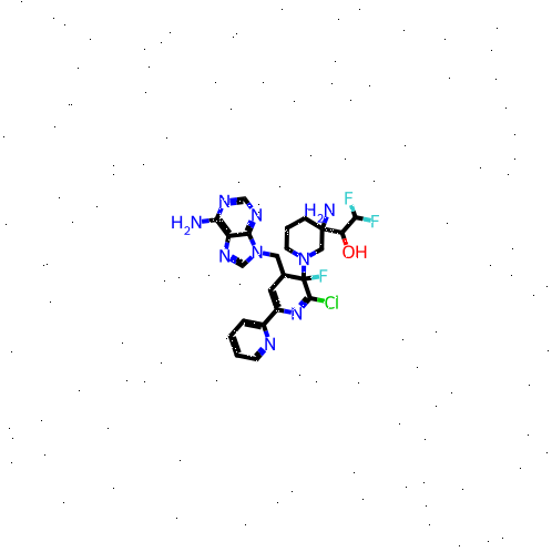 Nc1ncnc2c1ncn2CC1C=C(c2ccccn2)N=C(Cl)C1(F)N1CCCC(N)(C(O)C(F)F)C1